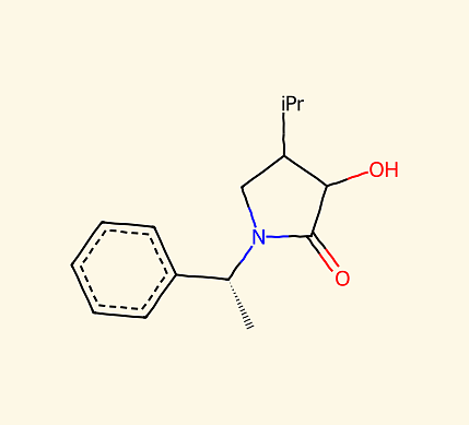 CC(C)C1CN([C@H](C)c2ccccc2)C(=O)C1O